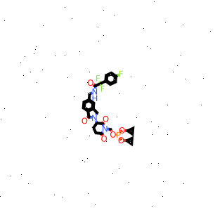 O=C1CCC(N2Cc3cc(CNC(=O)C(F)(F)c4ccc(F)cc4)ccc3C2=O)C(=O)N1COP(OC1CC1)OC1CC1